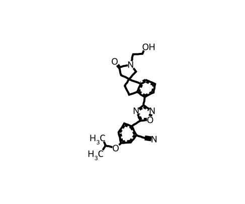 CC(C)Oc1ccc(-c2nc(-c3cccc4c3CCC43CC(=O)N(CCO)C3)no2)c(C#N)c1